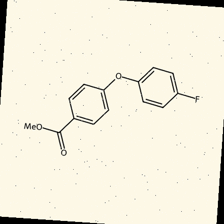 COC(=O)c1ccc(Oc2ccc(F)cc2)cc1